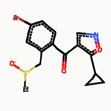 CC[S+]([O-])Cc1cc(Br)ccc1C(=O)c1cnoc1C1CC1